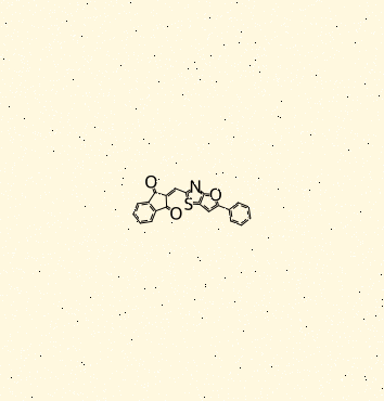 O=C1C(=Cc2nc3oc(-c4ccccc4)cc3s2)C(=O)c2ccccc21